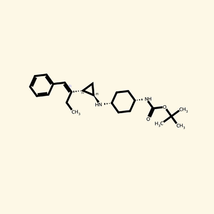 CC/C(=C\c1ccccc1)[C@@H]1C[C@H]1N[C@H]1CC[C@@H](NC(=O)OC(C)(C)C)CC1